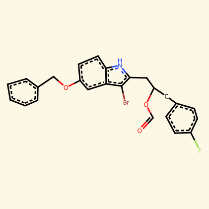 O=COC(Cc1ccc(F)cc1)Cc1[nH]c2ccc(OCc3ccccc3)cc2c1Br